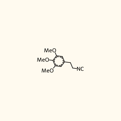 [C-]#[N+]CCc1cc(OC)c(OC)c(OC)c1